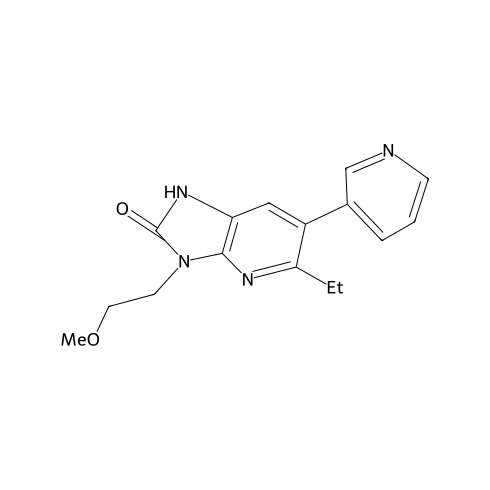 CCc1nc2c(cc1-c1cccnc1)[nH]c(=O)n2CCOC